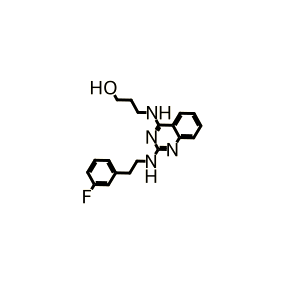 OCCCNc1nc(NCCc2cccc(F)c2)nc2ccccc12